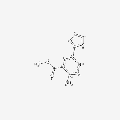 COC(=O)c1cc(-c2cccs2)ncc1N